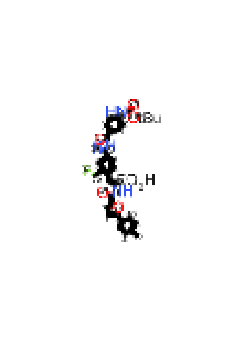 Cc1ccc(-c2ccc(C(=O)NC(Cc3ccc(-c4noc(-c5ccc(NC(=O)OC(C)(C)C)cc5)n4)cc3CF)C(=O)O)o2)cc1